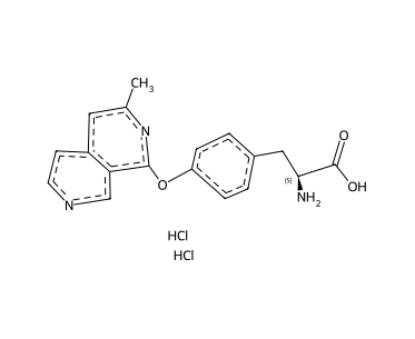 Cc1cc2ccncc2c(Oc2ccc(C[C@H](N)C(=O)O)cc2)n1.Cl.Cl